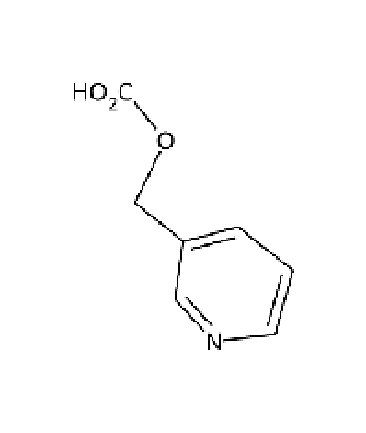 O=C(O)OCc1cccnc1